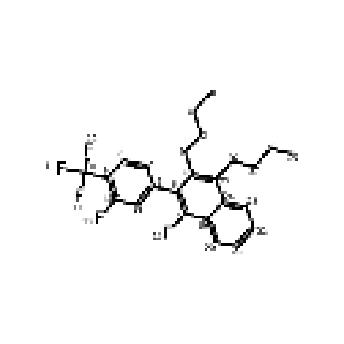 CCCCc1c(-c2ccc(C(F)(F)F)c(F)c2)c(F)c2ccccc2c1CCCC